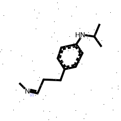 C/N=C\CCc1ccc(NC(C)C)cc1